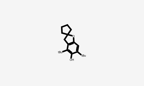 CC(C)(C)c1cc2c(c(C(C)(C)C)c1O)CC1(CCCC1)O2